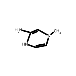 CN1C=CNC(N)=C1